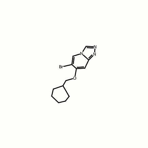 Brc1cn2cnnc2cc1OCC1CCCCC1